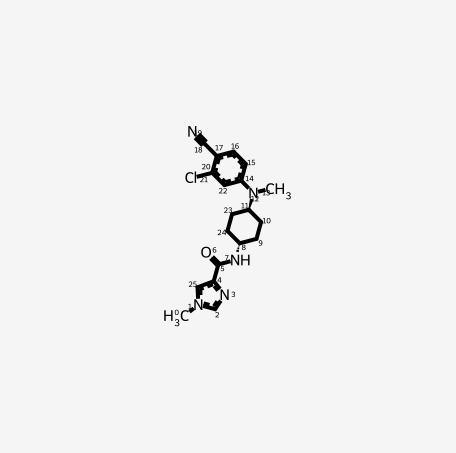 Cn1cnc(C(=O)N[C@H]2CC[C@H](N(C)c3ccc(C#N)c(Cl)c3)CC2)c1